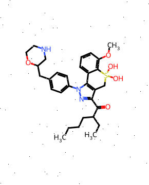 CCCCC(CC)C(=O)c1nn(-c2ccc(CC3CNCCO3)cc2)c2c1CS(O)(O)c1c(OC)cccc1-2